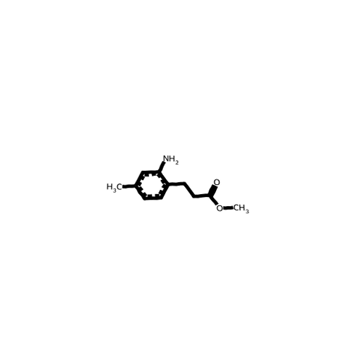 COC(=O)CCc1ccc(C)cc1N